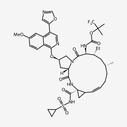 CC[C@@H]1C[C@H](C)CC/C=C\C2C[C@@]2(C(=O)NS(=O)(=O)C2CC2)NC(=O)[C@@H]2C[C@@H](Oc3ncc(-c4cnco4)c4cc(OC)ccc34)CN2C(=O)[C@H]1NC(=O)OC(C)(C)C(F)(F)F